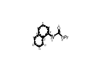 CCCC(=O)[N]c1cccc2ccccc12